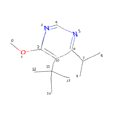 COc1ncnc(C(C)C)c1C(C)(C)C